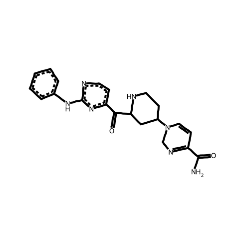 NC(=O)C1=NCN(C2CCNC(C(=O)c3ccnc(Nc4ccccc4)n3)C2)C=C1